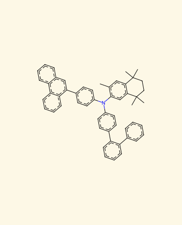 Cc1cc2c(cc1N(c1ccc(-c3ccccc3-c3ccccc3)cc1)c1ccc(-c3cc4ccccc4c4ccccc34)cc1)C(C)(C)CCC2(C)C